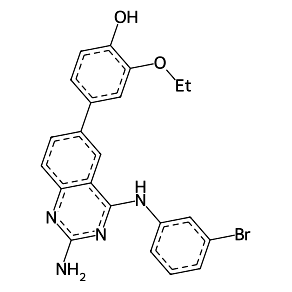 CCOc1cc(-c2ccc3nc(N)nc(Nc4cccc(Br)c4)c3c2)ccc1O